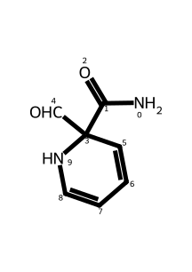 NC(=O)C1(C=O)C=CC=CN1